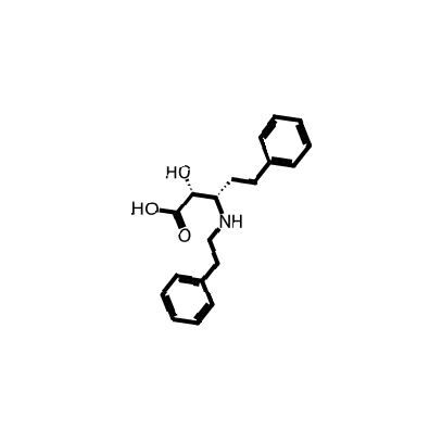 O=C(O)[C@H](O)[C@H](CCc1ccccc1)NCCc1ccccc1